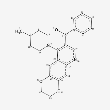 CC1CCN(c2c([S+]([O-])c3ccccc3)cnc3cc4c(cc23)OCCO4)CC1